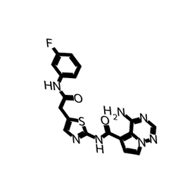 Nc1ncnn2ccc(C(=O)Nc3ncc(CC(=O)Nc4cccc(F)c4)s3)c12